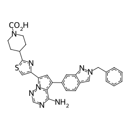 Nc1ncnn2c(-c3csc(C4CCN(C(=O)O)CC4)n3)cc(-c3ccc4cn(Cc5ccccc5)nc4c3)c12